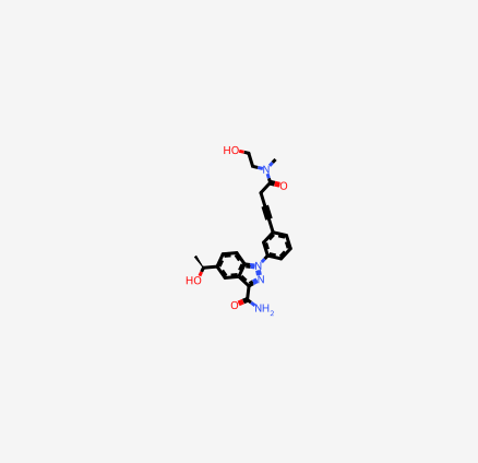 C[C@H](O)c1ccc2c(c1)c(C(N)=O)nn2-c1cccc(C#CCC(=O)N(C)CCO)c1